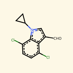 O=Cc1cn(C2CC2)c2c(Cl)ccc(Cl)c12